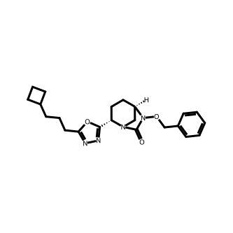 O=C1N2C[C@@H](CC[C@H]2c2nnc(CCCC3CCC3)o2)N1OCc1ccccc1